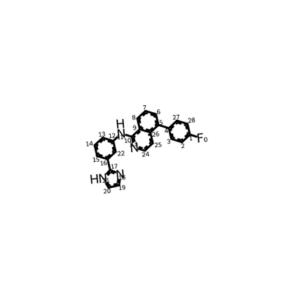 Fc1ccc(-c2cccc3c(Nc4cccc(-c5ncc[nH]5)c4)nccc23)cc1